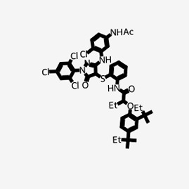 CCC(Oc1ccc(C(C)(C)CC)cc1C(C)(C)CC)C(=O)Nc1ccccc1SC1C(=O)N(c2c(Cl)cc(Cl)cc2Cl)N=C1Nc1cc(NC(C)=O)ccc1Cl